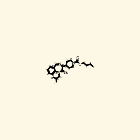 CCCCOC(=O)N1CCC(C2N=Cc3ccccc3N(CC(C)C)C2=O)CC1